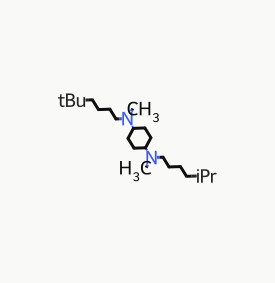 CC(C)CCCCN(C)[C@H]1CC[C@H](N(C)CCCCC(C)(C)C)CC1